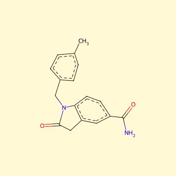 Cc1ccc(CN2C(=O)Cc3cc(C(N)=O)ccc32)cc1